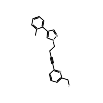 Cc1ccccc1-c1cnn(CCC#Cc2cccc(CF)n2)c1